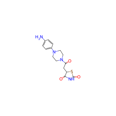 Nc1ccc(N2CCN(C(=O)CC3SC(=O)NC3=O)CC2)cc1